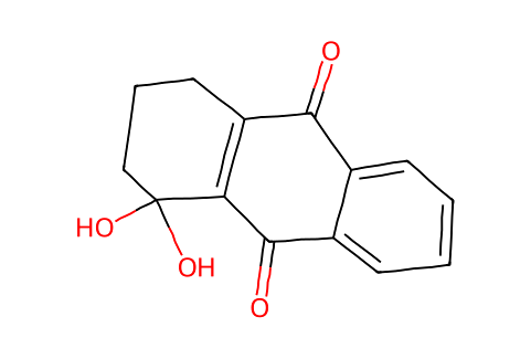 O=C1C2=C(C(=O)c3ccccc31)C(O)(O)CCC2